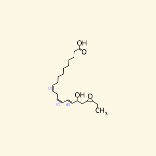 CCC1OC1CC(O)/C=C/C=C\C/C=C\CCCCCCCCC(=O)O